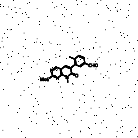 CSc1ncc2cc(-c3cc(C=O)ccc3C)c(=O)n(C)c2n1